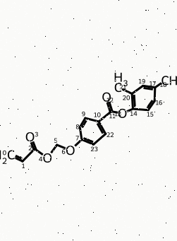 C=CC(=O)OCOc1ccc(C(=O)Oc2ccc(C)cc2C)cc1